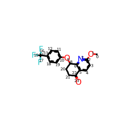 COc1ccc2c(n1)C(Oc1ccc(C(F)(F)F)cc1)CCC2=O